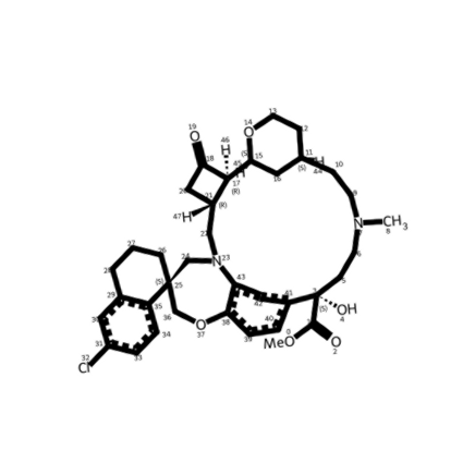 COC(=O)[C@]1(O)CCN(C)CC[C@H]2CCO[C@@H](C2)[C@@H]2C(=O)C[C@H]2CN2C[C@@]3(CCCc4cc(Cl)ccc43)COc3ccc1cc32